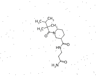 CC(C)C(C)(C)C(=O)N1CCCC(C(=O)NCCC(N)=O)C1